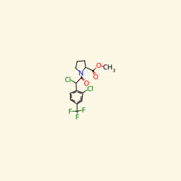 COC(=O)C1CCCN1C(=O)C(Cl)c1ccc(C(F)(F)F)cc1Cl